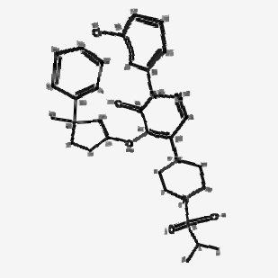 CC(C)S(=O)(=O)N1CCN(c2cnn(-c3cccc(Cl)c3)c(=O)c2OC2CCC(C)(c3ccccc3)C2)CC1